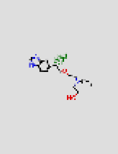 CN(CCO)CCOCCc1ccc2[nH]cnc2c1.Cl.Cl.Cl